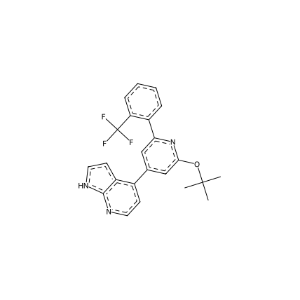 CC(C)(C)Oc1cc(-c2ccnc3[nH]ccc23)cc(-c2ccccc2C(F)(F)F)n1